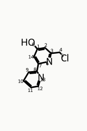 Oc1cc(CCl)nc(-c2ccccn2)c1